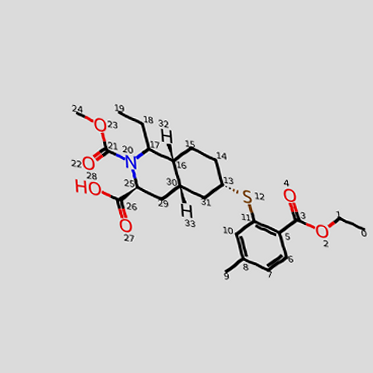 CCOC(=O)c1ccc(C)cc1S[C@H]1CC[C@H]2C(CC)N(C(=O)OC)[C@H](C(=O)O)C[C@H]2C1